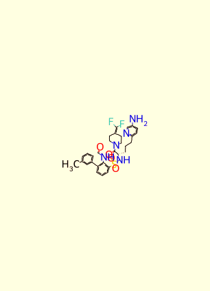 Cc1cccc(-c2cccc(S(=O)(=O)N[C@@H](CCCc3ccc(N)cn3)C(=O)N3CCC(=C(F)F)CC3)c2NC=O)c1